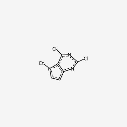 [CH2]Cn1ccc2nc(Cl)nc(Cl)c21